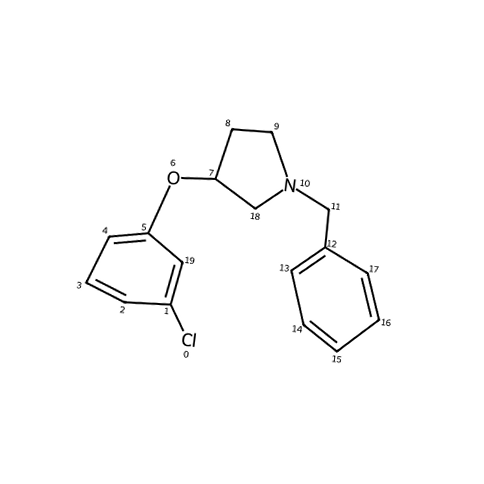 Clc1cccc(OC2CCN(Cc3ccccc3)C2)c1